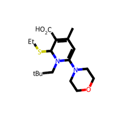 CCSC1C(C(=O)O)=C(C)C=C(N2CCOCC2)N1CC(C)(C)C